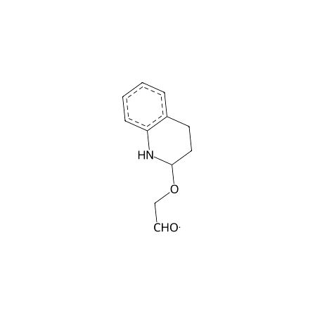 O=[C]COC1CCc2ccccc2N1